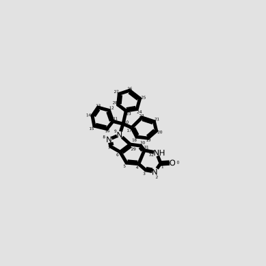 O=c1ncc2cc3cnn(C(c4ccccc4)(c4ccccc4)c4ccccc4)c3cc2[nH]1